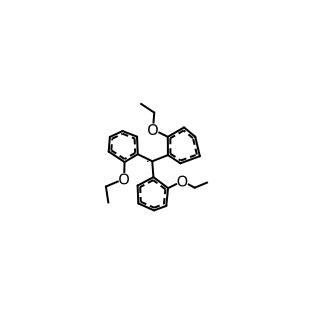 CCOc1ccccc1[C](c1ccccc1OCC)c1ccccc1OCC